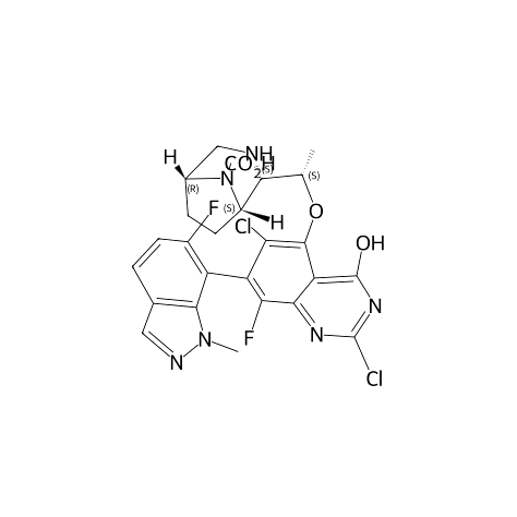 C[C@H](Oc1c(Cl)c(-c2c(F)ccc3cnn(C)c23)c(F)c2nc(Cl)nc(O)c12)[C@H]1NC[C@H]2CC[C@@H]1N2C(=O)O